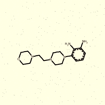 Nc1cccc(N2CCN(CCN3CCOCC3)CC2)c1N